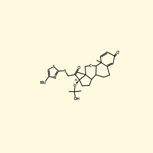 CC(C)(O)O[C@]1(C(=O)CSc2nc(C(C)(C)C)cs2)CCC2C3CCC4=CC(=O)C=CC4(C)C3CCC21C